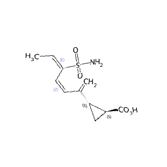 C=C(/C=C\C(=C/C)S(N)(=O)=O)[C@H]1C[C@@H]1C(=O)O